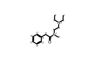 CCN(CC)CCN(C)C(=O)Cc1[c]cccc1